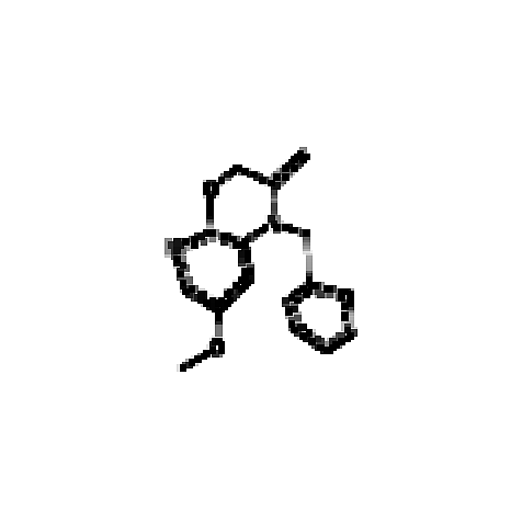 C=C1COc2ncc(OC)cc2N1Cc1ccccc1